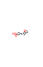 C/C(=C\c1ccc(C(=O)O)cc1)c1cc2c(cc1C)C(C)(C)CCO2